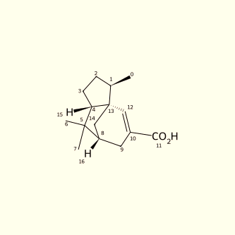 C[C@@H]1CC[C@H]2C(C)(C)[C@H]3CC(C(=O)O)=C[C@@]12C3